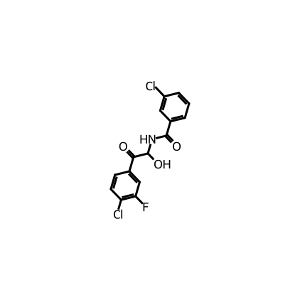 O=C(NC(O)C(=O)c1ccc(Cl)c(F)c1)c1cccc(Cl)c1